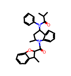 CC(C)C(=O)N(c1ccccc1)C1CC(C)N(C(=O)C2Oc3ccccc3C2C)c2ccccc21